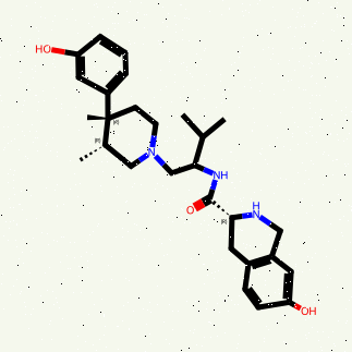 CC(C)C(CN1CC[C@@](C)(c2cccc(O)c2)[C@@H](C)C1)NC(=O)[C@H]1Cc2ccc(O)cc2CN1